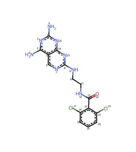 Nc1nc(N)c2cnc(NCCNC(=O)c3c(Cl)cccc3Cl)nc2n1